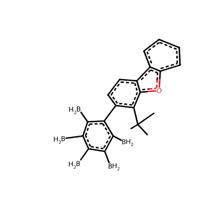 Bc1c(B)c(B)c(-c2ccc3c(oc4ccccc43)c2C(C)(C)C)c(B)c1B